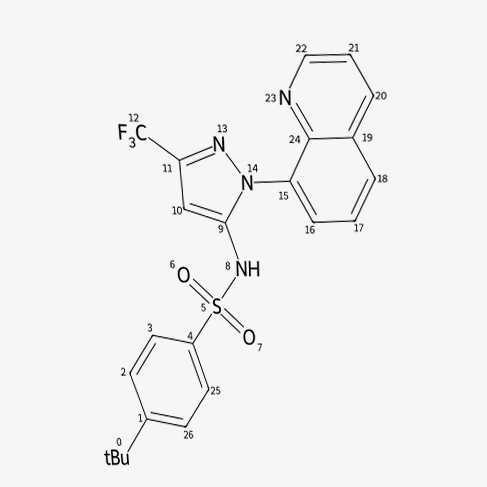 CC(C)(C)c1ccc(S(=O)(=O)Nc2cc(C(F)(F)F)nn2-c2cccc3cccnc23)cc1